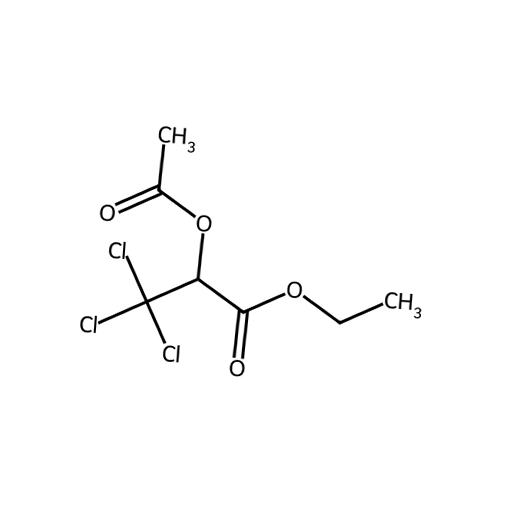 CCOC(=O)C(OC(C)=O)C(Cl)(Cl)Cl